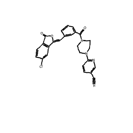 N#Cc1ccc(N2CCN(C(=O)c3cccc(C=C4OC(=O)c5ccc(Cl)cc54)c3)CC2)nc1